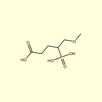 COCC(CCC(=O)O)P(=O)(O)O